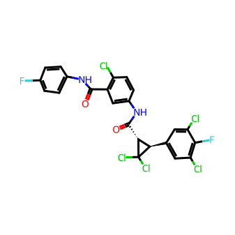 O=C(Nc1ccc(F)cc1)c1cc(NC(=O)[C@@H]2[C@@H](c3cc(Cl)c(F)c(Cl)c3)C2(Cl)Cl)ccc1Cl